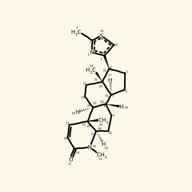 Cc1nc([C@H]2CC[C@H]3[C@@H]4CC[C@H]5N(C)C(=O)C=C[C@]5(C)[C@H]4CC[C@]23C)cs1